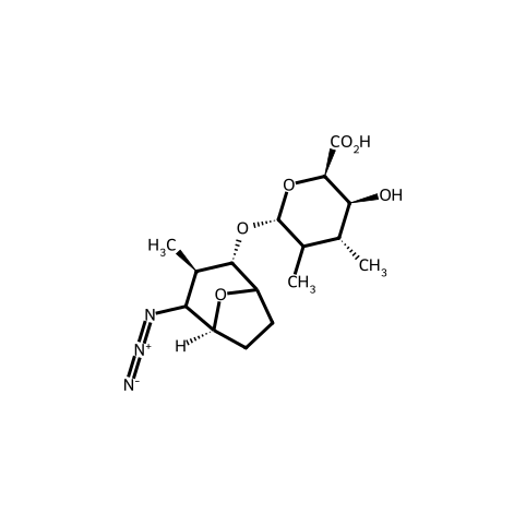 CC1[C@H](O[C@@H]2C3CC[C@H](O3)C(N=[N+]=[N-])[C@H]2C)O[C@@H](C(=O)O)[C@@H](O)[C@@H]1C